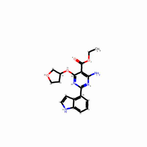 CCOC(=O)c1c(N)nc(-c2cccc3[nH]ccc23)nc1OC1CCOC1